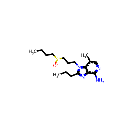 CCCC[S+]([O-])CCCn1c(CCC)nc2c(N)ncc(C)c21